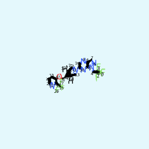 FC(F)(F)Cn1ncc2ncc(N3C[C@@H]4[C@@H](COc5cccnc5C(F)(F)F)[C@@H]4C3)nc21